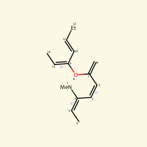 C=C(/C=C\C(=C/C)NC)O/C(C=CCC)=C/C